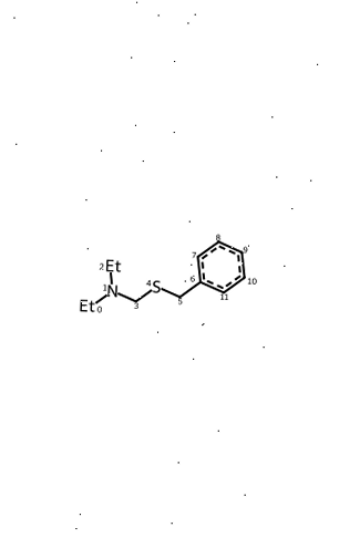 CCN(CC)CSCc1ccccc1